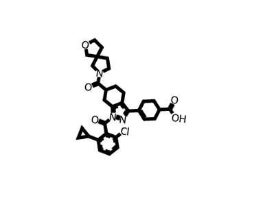 O=C(O)C1CC=C(c2nn(C(=O)c3c(Cl)cccc3C3CC3)c3c2CCC(C(=O)N2CCC4(CCOC4)C2)C3)CC1